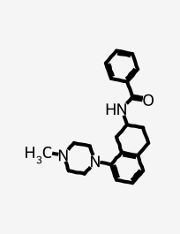 CN1CCN(c2cccc3c2CC(NC(=O)c2ccccc2)CC3)CC1